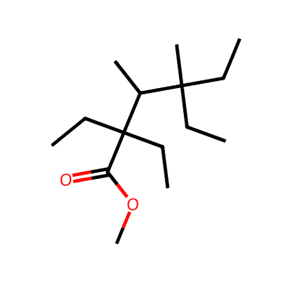 CCC(C)(CC)C(C)C(CC)(CC)C(=O)OC